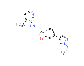 O=C(O)c1ccncc1NC[C@H]1COc2cc(-c3cnn(CC(F)(F)F)c3)ccc21